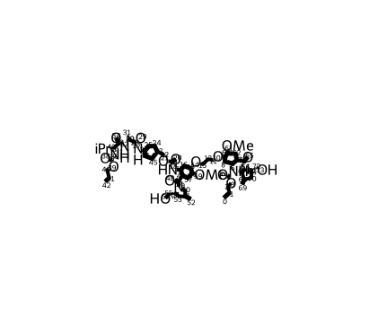 C=CCOC(=O)Nc1cc(OCCCOc2cc(NC(=O)OCc3ccc(NC(=O)[C@H](C)NC(=O)[C@@H](NC(=O)OCC=C)C(C)C)cc3)c(C(=O)N3CC(=C)C[C@H]3CO)cc2OC)c(OC)cc1C(=O)N1CC(=C)C[C@H]1CO